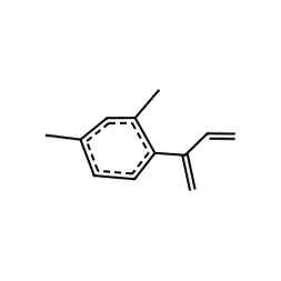 C=CC(=C)c1ccc(C)cc1C